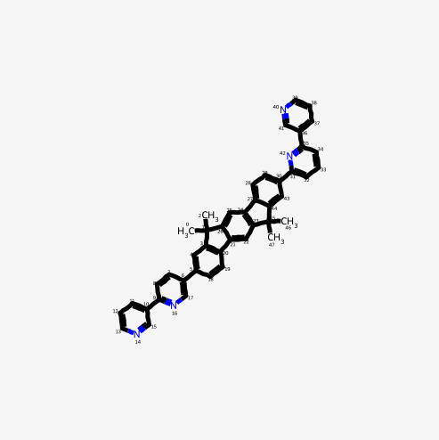 CC1(C)c2cc(-c3ccc(-c4cccnc4)nc3)ccc2-c2cc3c(cc21)-c1ccc(-c2cccc(-c4cccnc4)n2)cc1C3(C)C